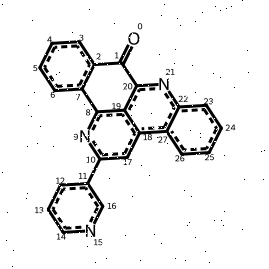 O=C1c2ccccc2-c2nc(-c3cccnc3)cc3c2c1nc1ccccc13